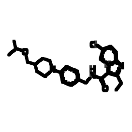 CCc1nc2ccc(Cl)cn2c1C(=O)NCc1ccc(N2CCC(COC(C)C)CC2)cc1